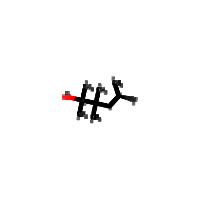 CC(=O)[C@H](C)CC(C)(C)[Si](C)(C)O